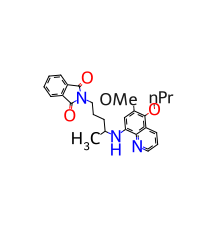 CCCOc1c(OC)cc(NC(C)CCCN2C(=O)c3ccccc3C2=O)c2ncccc12